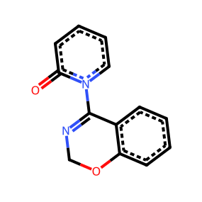 O=c1ccccn1C1=NCOc2ccccc21